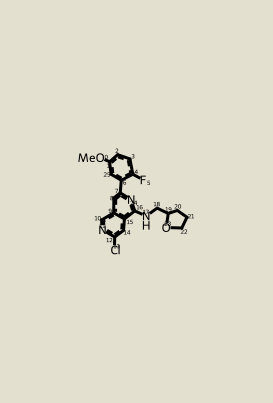 COc1ccc(F)c(-c2cc3cnc(Cl)cc3c(NCC3CCCO3)n2)c1